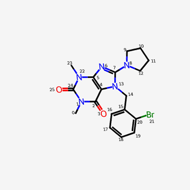 Cn1c(=O)c2c(nc(N3CCCC3)n2Cc2ccccc2Br)n(C)c1=O